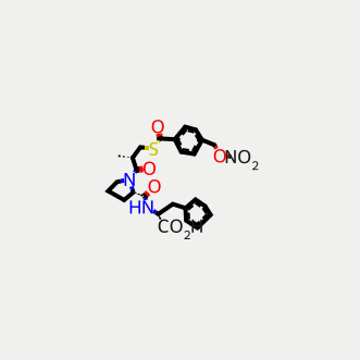 C[C@H](CSC(=O)c1ccc(CO[N+](=O)[O-])cc1)C(=O)N1CCC[C@H]1C(=O)N[C@H](Cc1ccccc1)C(=O)O